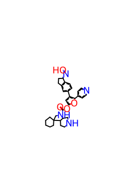 O=C(NCC1(C2CCNCC2)CCCCC1)Oc1cc(-c2ccc3c(c2)CCC3=NO)c(-c2ccncc2)o1